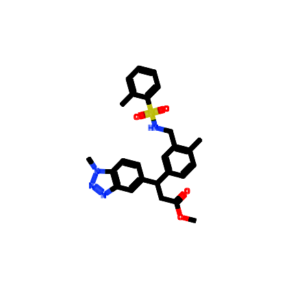 COC(=O)CC(c1ccc(C)c(CNS(=O)(=O)c2ccccc2C)c1)c1ccc2c(c1)nnn2C